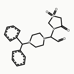 O=CC(N1CCN(C(c2ccccc2)c2ccccc2)CC1)N1CS(=O)(=O)CC1=O